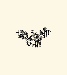 COc1cc2ncnc(N(Cc3cnc([N+](=O)[O-])n3C)c3ccc(F)c(Cl)c3)c2cc1OCCOC(C)C(=O)O